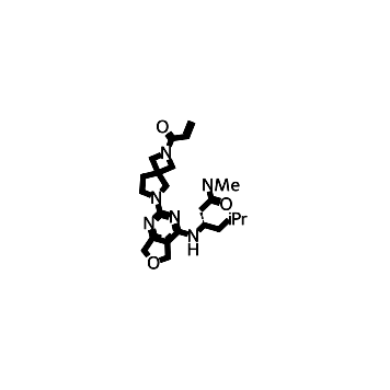 C=CC(=O)N1CC2(CCN(c3nc4c(c(N[C@H](CC(=O)NC)CC(C)C)n3)COC4)C2)C1